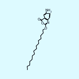 CCCCCCCCCCCCCCCCOc1nc2ccc(N)cc2c(=O)o1